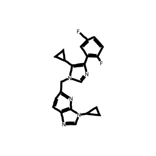 Fc1ccc(F)c(-c2ncn(Cc3ccc4ncn(C5CC5)c4n3)c2C2CC2)c1